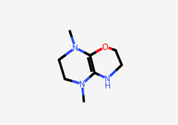 CN1CCN(C)C2=C1NCCO2